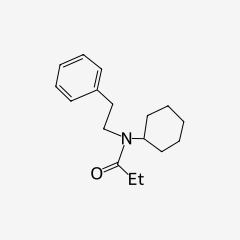 CCC(=O)N(CCc1ccccc1)C1CCCCC1